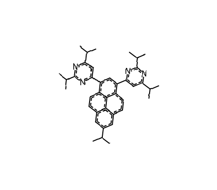 CC(C)c1cc2ccc3c(-c4cc(C(C)C)nc(C(C)C)n4)cc(-c4cc(C(C)C)nc(C(C)C)n4)c4ccc(c1)c2c34